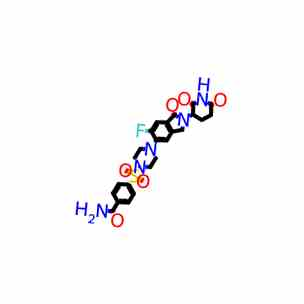 NC(=O)c1ccc(S(=O)(=O)N2CCN(c3cc4c(cc3F)C(=O)N(C3CCC(=O)NC3=O)C4)CC2)cc1